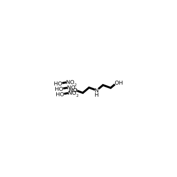 O=[N+]([O-])O.O=[N+]([O-])O.O=[N+]([O-])O.OCCNCCO